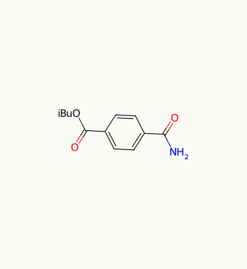 CC(C)COC(=O)c1ccc(C(N)=O)cc1